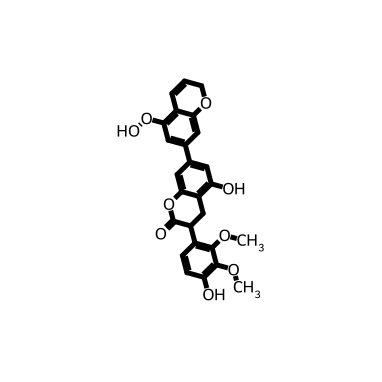 COc1c(O)ccc(C2Cc3c(O)cc(-c4cc(OO)c5c(c4)OCC=C5)cc3OC2=O)c1OC